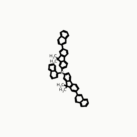 CC1(C)c2cc(-c3ccc4ccccc4c3)ccc2-c2ccc(N(c3ccc4c(c3)C(C)(C)c3cc(-c5ccc6ccccc6c5)ccc3-4)c3cccc4ccccc34)cc21